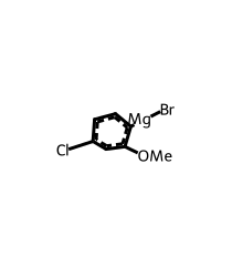 COc1cc(Cl)cc[c]1[Mg][Br]